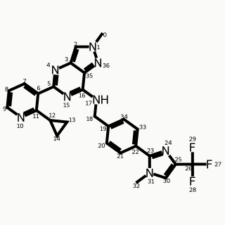 Cn1cc2nc(-c3cccnc3C3CC3)nc(NCc3ccc(-c4nc(C(F)(F)F)cn4C)cc3)c2n1